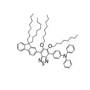 CCCCCCCCOc1c(OCCCCCCCC)c(-c2ccc3c(c2)C(CCCCCCCC)(CCCCCCCC)c2ccccc2-3)c2nsnc2c1-c1ccc(N(c2ccccc2)c2ccccc2)cc1